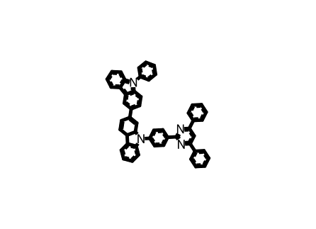 C1=CC2c3ccccc3N(c3ccc(-c4nc(-c5ccccc5)cc(-c5ccccc5)n4)cc3)C2C=C1c1ccc2c(c1)c1ccccc1n2-c1ccccc1